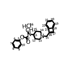 CN(C(=O)Oc1ccccc1)C1CCN(CC2=Cc3ccccc32)CC1.Cl